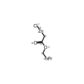 CCCCOC(=O)[CH2][Zn][Cl]